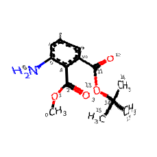 COC(=O)c1c(N)cccc1C(=O)OC(C)(C)C